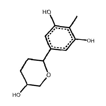 Cc1c(O)cc(C2CCC(O)CO2)cc1O